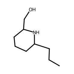 CCCC1CCCC(CO)N1